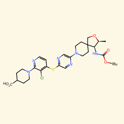 C[C@@H]1OCC2(CCN(c3cnc(Sc4ccnc(N5CCC(C(=O)O)CC5)c4Cl)cn3)CC2)[C@@H]1NC(=O)OC(C)(C)C